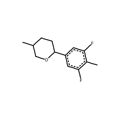 Cc1c(F)cc(C2CCC(C)CO2)cc1F